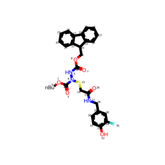 CCCCOC(=O)N(NC(=O)OCC1c2ccccc2-c2ccccc21)SCC(=O)NCc1ccc(O)c(F)c1